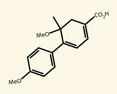 COc1ccc(C2=CC=C(C(=O)O)CC2(C)OC)cc1